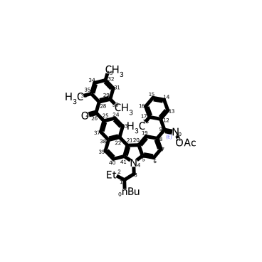 CCCCC(CC)Cn1c2ccc(/C(=N\OC(C)=O)c3ccccc3C)cc2c2c3ccc(C(=O)c4c(C)cc(C)cc4C)cc3ccc21